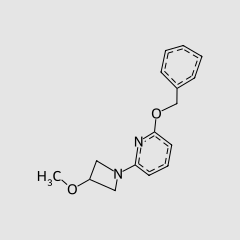 COC1CN(c2cccc(OCc3ccccc3)n2)C1